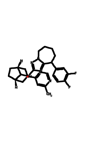 Cc1cc(N2C[C@H]3CC[C@@H](C2)C3Nc2nc3n(n2)CCCCC3c2ccc(F)c(F)c2)ncn1